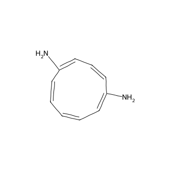 Nc1cccccc(N)ccc1